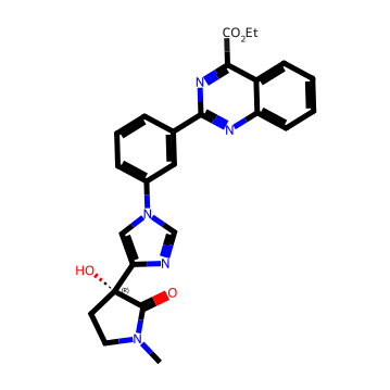 CCOC(=O)c1nc(-c2cccc(-n3cnc([C@]4(O)CCN(C)C4=O)c3)c2)nc2ccccc12